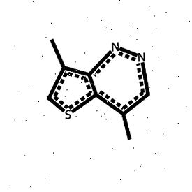 Cc1csc2c(C)cnnc12